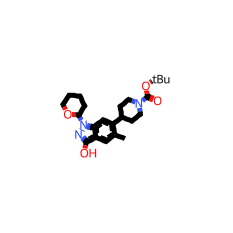 Cc1cc2c(O)nn(C3CCCCO3)c2cc1C1CCN(C(=O)OC(C)(C)C)CC1